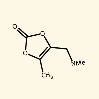 CNCc1oc(=O)oc1C